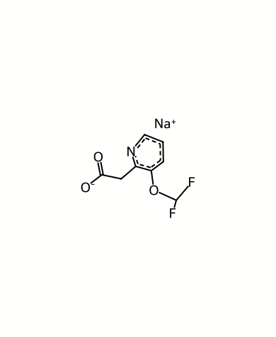 O=C([O-])Cc1ncccc1OC(F)F.[Na+]